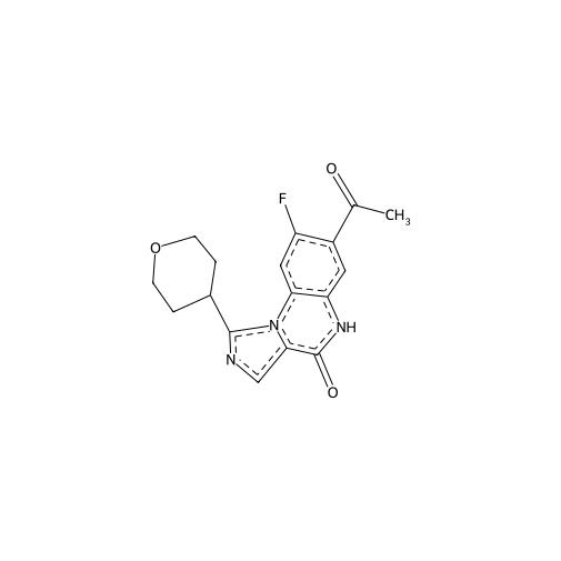 CC(=O)c1cc2[nH]c(=O)c3cnc(C4CCOCC4)n3c2cc1F